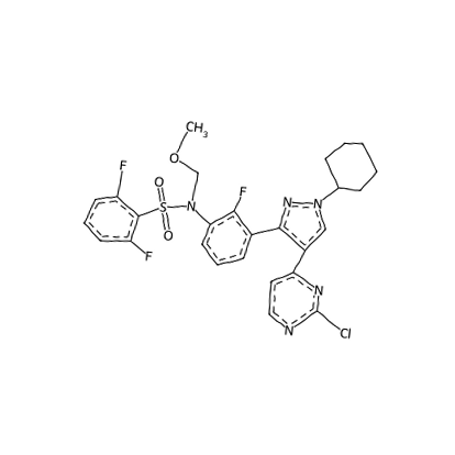 COCN(c1cccc(-c2nn(C3CCCCC3)cc2-c2ccnc(Cl)n2)c1F)S(=O)(=O)c1c(F)cccc1F